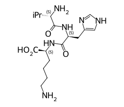 CC(C)[C@H](N)C(=O)N[C@@H](Cc1c[nH]cn1)C(=O)N[C@@H](CCCCN)C(=O)O